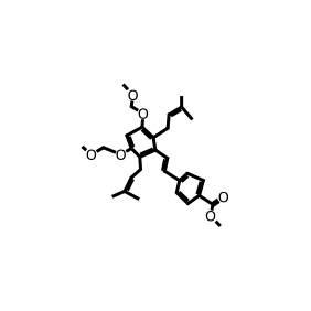 COCOc1cc(OCOC)c(CC=C(C)C)c(/C=C/c2ccc(C(=O)OC)cc2)c1CC=C(C)C